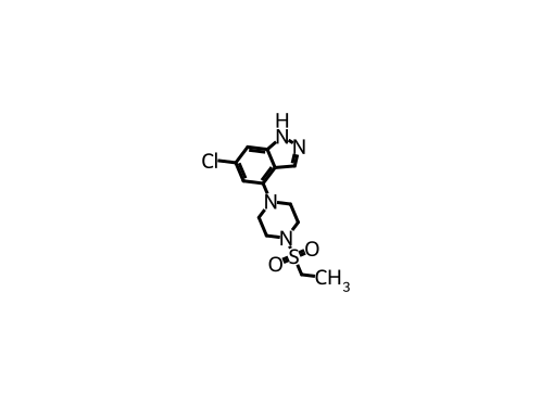 CCS(=O)(=O)N1CCN(c2cc(Cl)cc3[nH]ncc23)CC1